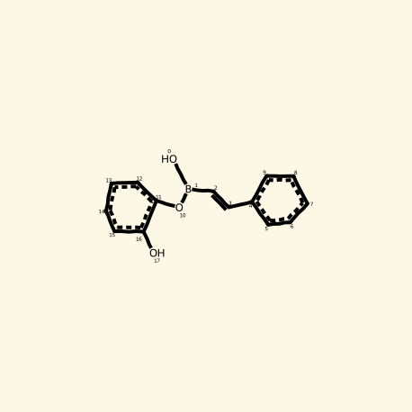 OB(C=Cc1ccccc1)Oc1ccccc1O